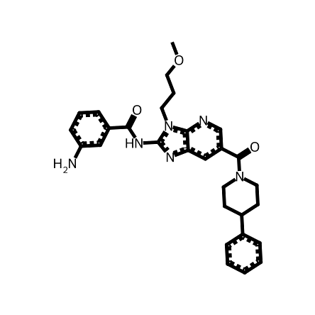 COCCCn1c(NC(=O)c2cccc(N)c2)nc2cc(C(=O)N3CCC(c4ccccc4)CC3)cnc21